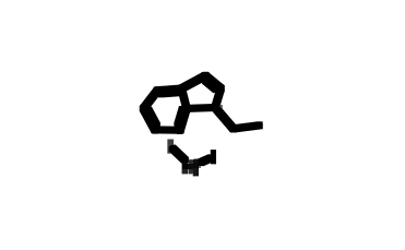 CC[C]1C=Cc2ccccc21.[I][Hf][I]